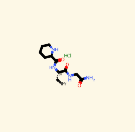 CC(C)C[C@H](NC(=O)C1CCCCN1)C(=O)NCC(N)=O.Cl